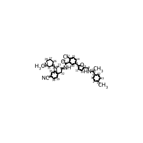 Cc1ccc([C@@H](C)NCc2ccc(-c3ccc(Cl)c(C(=O)N[C@@H](CN[C@H]4CCCN(C)C4)Cc4ccc(C#N)cc4)c3)o2)cc1